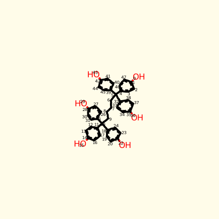 Oc1ccc(C(CCCCC(c2ccc(O)cc2)(c2ccc(O)cc2)c2ccc(O)cc2)(c2ccc(O)cc2)c2ccc(O)cc2)cc1